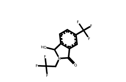 O=C1c2cc(C(F)(F)F)ccc2C(O)N1CC(F)(F)F